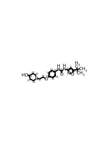 CC(C)(C)c1cc(NC(=O)Nc2ccc(OCCN3CCC(O)CC3)cc2)no1